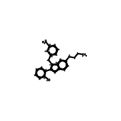 CCCOc1ccc2cc(-c3ccccc3Cl)n(Cc3cccc(N)n3)c2c1